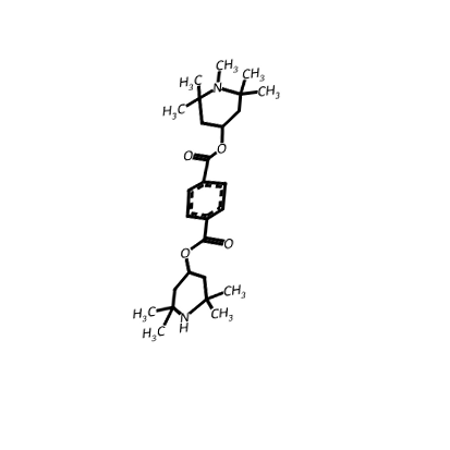 CN1C(C)(C)CC(OC(=O)c2ccc(C(=O)OC3CC(C)(C)NC(C)(C)C3)cc2)CC1(C)C